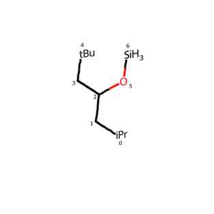 CC(C)CC(CC(C)(C)C)O[SiH3]